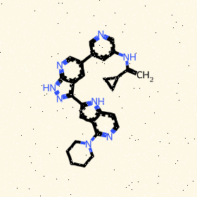 C=C(Nc1cncc(-c2cnc3[nH]nc(-c4cc5c(N6CCCCC6)nccc5[nH]4)c3c2)c1)C1CC1